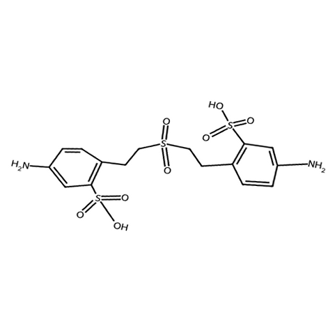 Nc1ccc(CCS(=O)(=O)CCc2ccc(N)cc2S(=O)(=O)O)c(S(=O)(=O)O)c1